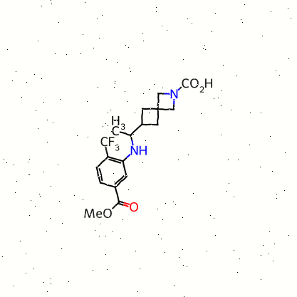 COC(=O)c1ccc(C(F)(F)F)c(NC(C)C2CC3(C2)CN(C(=O)O)C3)c1